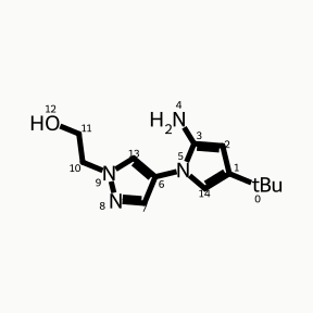 CC(C)(C)c1cc(N)n(-c2cnn(CCO)c2)c1